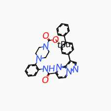 CC(C)(C)OC(=O)N1CCN(c2ccccc2NC(=O)c2ccn3ncc(-c4ccc(-c5ccccc5)cc4)c3n2)CC1